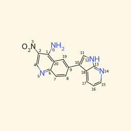 Nc1c([N+](=O)[O-])cnc2ccc(-c3c[nH]c4ncccc34)cc12